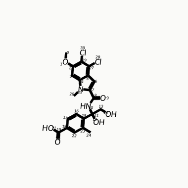 COc1cc2c(cc(C(=O)NC(O)(CO)c3ccc(C(=O)O)cc3C)n2C)c(Cl)c1Cl